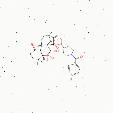 C=C1C(=O)[C@]23[C@H](OC(=O)C4CCN(C(=O)c5ccc(F)cc5)CC4)[C@H]1CC[C@H]2[C@@]12CO[C@]3(O)[C@@H](O)[C@@H]1C(C)(C)CCC2=O